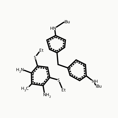 CCC(C)Nc1ccc(Cc2ccc(NC(C)CC)cc2)cc1.CCSc1cc(SCC)c(N)c(C)c1N